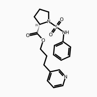 O=C(OCCCc1cccnc1)[C@@H]1CCCN1S(=O)(=O)Nc1ccccc1